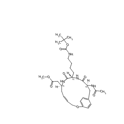 COC(=O)C[C@@H]1CC=CCOc2ccc(cc2)C[C@H](NC(C)=O)C(=O)N[C@@H](CCCCNC(=O)OC(C)(C)C)C(=O)N1